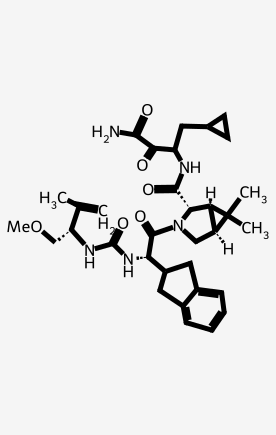 C=C(C)[C@@H](COC)NC(=O)N[C@H](C(=O)N1C[C@H]2[C@@H]([C@H]1C(=O)NC(CC1CC1)C(=O)C(N)=O)C2(C)C)C1Cc2ccccc2C1